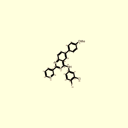 COc1ccc(-c2ccc3nc(-c4cccnc4)nc(Nc4ccc(F)c(Cl)c4)c3c2)cc1